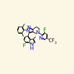 Cc1cccc(C)c1-n1nc2c(c1-c1ccc(F)c3[nH]cc(C)c13)CN(c1ncc(C(F)(F)F)cc1F)CC2